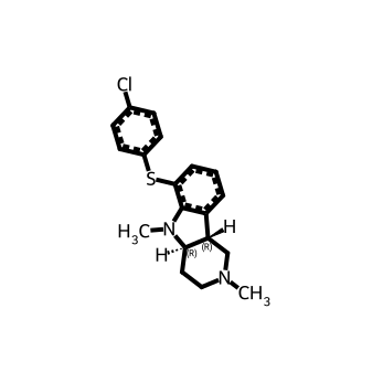 CN1CC[C@@H]2[C@@H](C1)c1cccc(Sc3ccc(Cl)cc3)c1N2C